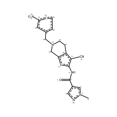 Cn1cc(C(=O)Nc2sc3c(c2C#N)CCN(Cc2cccc([N+](=O)[O-])c2)C3)cn1